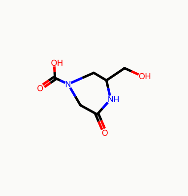 O=C1CN(C(=O)O)CC(CO)N1